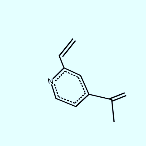 C=Cc1cc(C(=C)C)ccn1